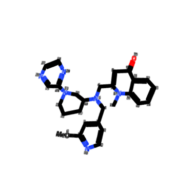 COc1cc(CN(Cc2cc(=O)c3ccccc3n2C)C2CCCN(c3cnccn3)C2)ccn1